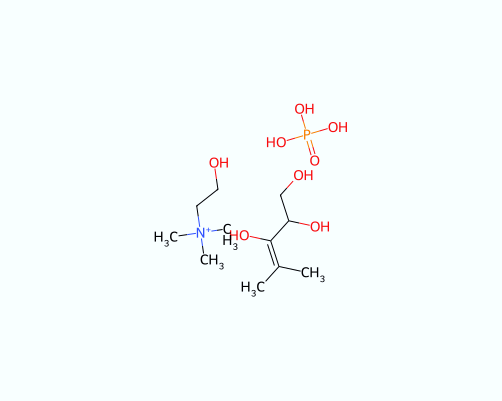 CC(C)=C(O)C(O)CO.C[N+](C)(C)CCO.O=P(O)(O)O